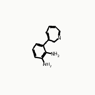 Nc1cccc(C2=CC=CC=NC2)c1N